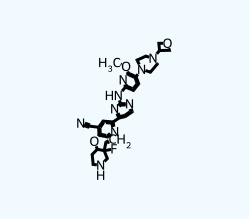 C=CC1(F)CNCCC1Oc1cnc(-c2ccnc(Nc3ccc(N4CCN(C5COC5)CC4)c(OC)n3)n2)cc1C#N